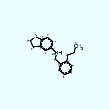 CCCc1ccccc1CNc1ccc2c(c1)CCO2